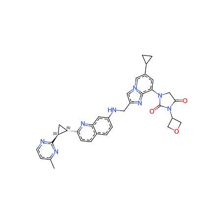 Cc1ccnc([C@H]2C[C@@H]2c2ccc3ccc(NCc4cn5cc(C6CC6)cc(N6CC(=O)N(C7COC7)C6=O)c5n4)cc3n2)n1